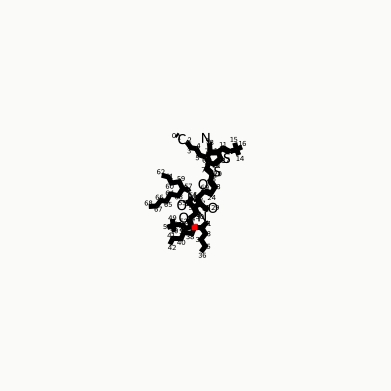 CCCCCCc1c(C#N)c2cc(C(C)(C)C)sc2c2sc(-c3ccc(C4=C5C(=O)N(CC(CCCC)CCCCCC)C(c6ccc(C(C)(C)C)o6)=C5C(=O)N4CC(CCCC)CCCCCC)o3)cc12